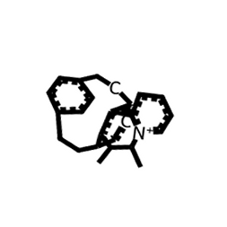 CC1c2c3ccc(c2-c2cccc[n+]2C1C)CCc1ccc(cc1)CC3